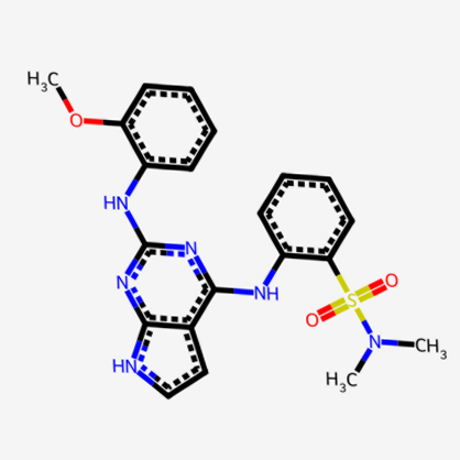 COc1ccccc1Nc1nc(Nc2ccccc2S(=O)(=O)N(C)C)c2cc[nH]c2n1